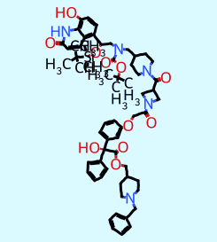 CC(C)(C)OC(=O)N(CC1CCN(C(=O)C2CN(C(=O)COc3cccc([C@](O)(C(=O)OCC4CCN(Cc5ccccc5)CC4)c4ccccc4)c3)C2)CC1)CC(O[Si](C)(C)C(C)(C)C)c1ccc(O)c2[nH]c(=O)ccc12